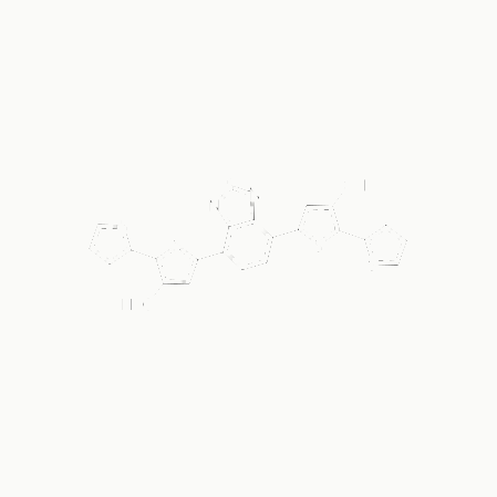 Cc1cc(-c2ccc(-c3cc(C)c(-c4cccs4)s3)c3nsnc23)sc1-c1cccs1